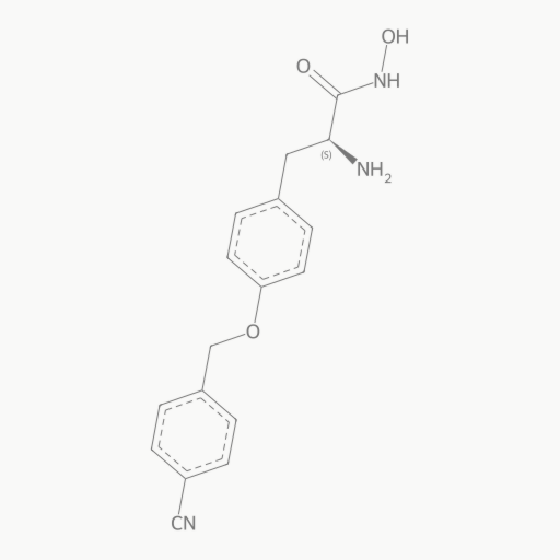 N#Cc1ccc(COc2ccc(C[C@H](N)C(=O)NO)cc2)cc1